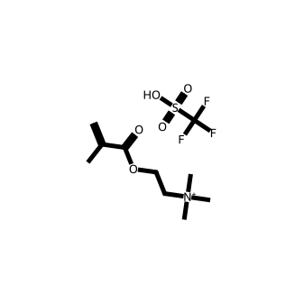 C=C(C)C(=O)OCC[N+](C)(C)C.O=S(=O)(O)C(F)(F)F